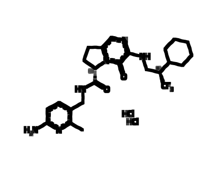 Cc1nc(N)ccc1CNC(=O)[C@@H]1CCc2cnc(NC[C@@H](C3CCCCC3)C(F)(F)F)c(=O)n21.Cl.Cl